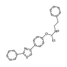 CCC(NCCc1ccccc1)Oc1ccc(-c2csc(-c3ccccc3)n2)cc1